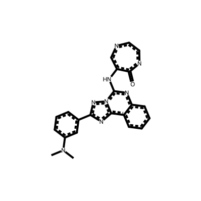 CN(C)c1cccc(-c2nc3c4ccccc4nc(Nc4cnccnc4=O)n3n2)c1